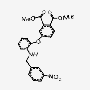 COC(=O)c1ccc(Oc2ccccc2NCc2cccc([N+](=O)[O-])c2)cc1C(=O)OC